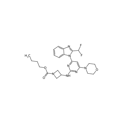 CCCCOC(=O)N1CC(Nc2nc(N3CCOCC3)cc(-n3c(C(F)F)nc4ccccc43)n2)C1